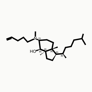 C=CCCCN(C)[C@H]1CC[C@]2(C)[C@@H]([C@H](C)CCCC(C)C)CC[C@@]2(C)[C@H]1O